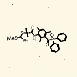 CSC(S)SC(C)(C)C(=O)Nc1c(C)cc(C)c(C(=O)P(=O)(c2ccccc2)c2ccccc2)c1C